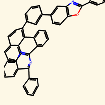 c1ccc(-c2nc3cc(-c4cccc(-c5ccc6ccccc6c5-c5ccccc5-c5nc(-c6ccccc6)c6ccccc6n5)c4)ccc3o2)cc1